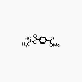 COC(=O)c1ccc(C(=O)OC(C)O)cc1